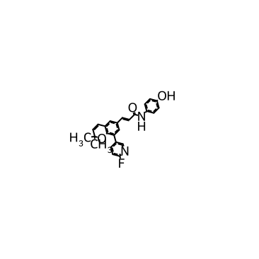 CC1(C)C=Cc2cc(C=CC(=O)Nc3ccc(O)cc3)cc(-c3ccc(F)nc3)c2O1